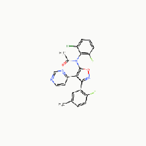 CC(=O)N(c1onc(-c2cc(C)ccc2F)c1-c1ccncn1)c1c(F)cccc1Cl